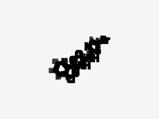 O=C(Nc1ncc(Br)s1)NS(=O)(=O)c1ccccc1Cl